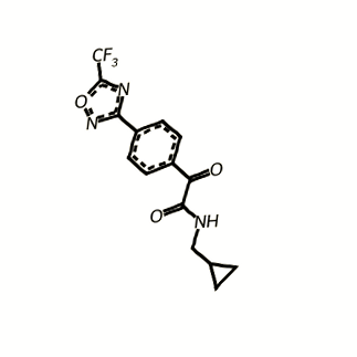 O=C(NCC1CC1)C(=O)c1ccc(-c2noc(C(F)(F)F)n2)cc1